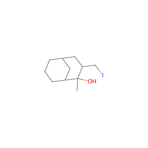 CC1(O)C(CI)CC2CCCC1C2